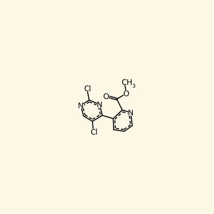 COC(=O)c1ncccc1-c1nc(Cl)ncc1Cl